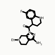 CCN1CCc2c(N)nn(C(=O)C3CCNc4ccc(F)cc43)c2C1